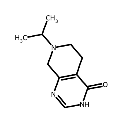 CC(C)N1CCc2c(nc[nH]c2=O)C1